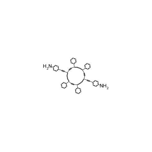 Nc1ccc(C#CC2=C=C=C(c3ccccc3)C#CC(c3ccccc3)=C=C=C(C#Cc3ccc(N)cc3)C#CC(c3ccccc3)=C=C=C(c3ccccc3)C#C2)cc1